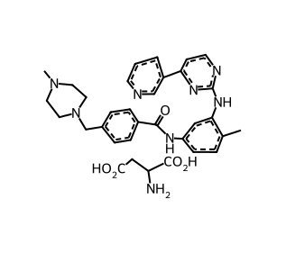 Cc1ccc(NC(=O)c2ccc(CN3CCN(C)CC3)cc2)cc1Nc1nccc(-c2cccnc2)n1.NC(CC(=O)O)C(=O)O